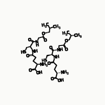 CC(C)COC(=O)CNC(=O)C(CS)NC(=O)CCC(N)C(=O)O.CC(C)COC(=O)CNC(=O)[C@H](CS)NC(=O)CC[C@H](N)C(=O)O